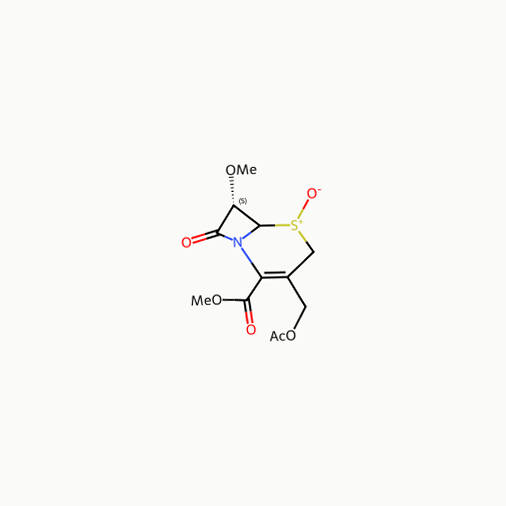 COC(=O)C1=C(COC(C)=O)C[S+]([O-])C2[C@@H](OC)C(=O)N12